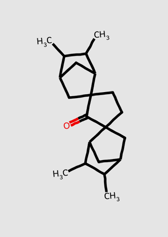 CC1C2CC(C1C)C1(CCC3(CC4CC3C(C)C4C)C1=O)C2